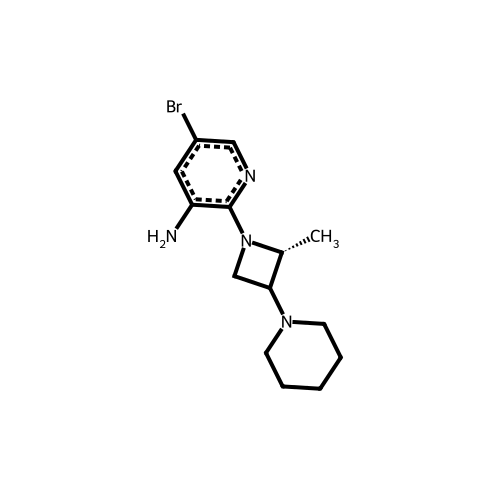 C[C@@H]1C(N2CCCCC2)CN1c1ncc(Br)cc1N